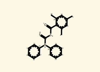 Cc1cc(C)c(C(=O)SC(=S)N(c2ccccc2)c2ccccc2)c(C)c1